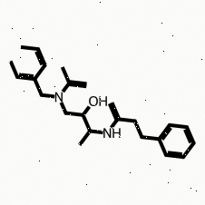 C=C(CCc1ccccc1)NC(C)C(O)CN(CC(/C=C\C)=C/C)C(=C)C